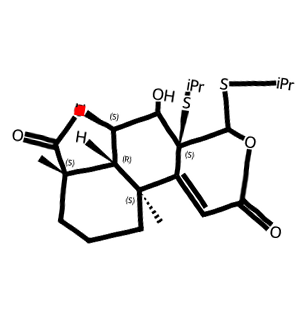 CC(C)SC1OC(=O)C=C2[C@]1(SC(C)C)C(O)[C@H]1OC(=O)[C@@]3(C)CCC[C@@]2(C)[C@@H]13